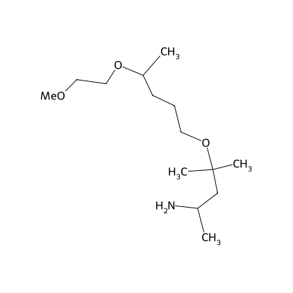 COCCOC(C)CCCOC(C)(C)CC(C)N